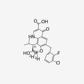 [2H]C([2H])([2H])Oc1c(Cc2cccc(Cl)c2F)cc2c(=O)c(C(=O)O)c[nH]c2c1[C@@H](CO)C(C)C